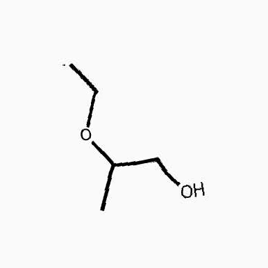 [CH2]COC(C)CO